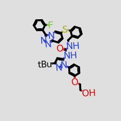 CC(C)(C)c1cc(NC(=O)NCc2ccccc2Sc2ccc3nnc(-c4ccccc4F)n3c2)n(-c2cccc(OCCO)c2)n1